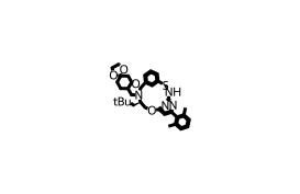 Cc1cccc(C)c1-c1cc2nc(n1)NSc1cccc(c1)C(=O)N(CC1CCC3(CC1)OCCO3)[C@H](CC(C)(C)C)CO2